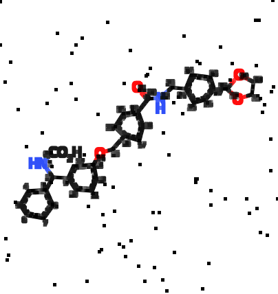 O=C(O)NC(c1ccccc1)c1cccc(OCc2ccc(C(=O)NCc3ccc(C4OCCO4)cc3)cc2)c1